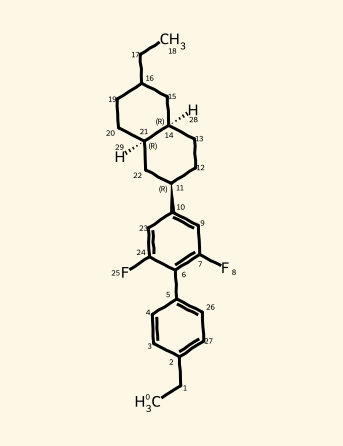 CCc1ccc(-c2c(F)cc([C@@H]3CC[C@@H]4CC(CC)CC[C@@H]4C3)cc2F)cc1